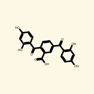 O=C(c1ccc(C(=O)c2ccc(O)cc2O)c(C(=O)O)c1)c1ccc(O)cc1O